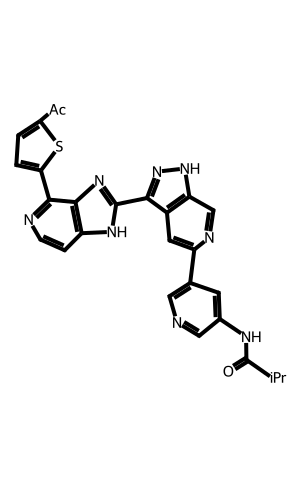 CC(=O)c1ccc(-c2nccc3[nH]c(-c4n[nH]c5cnc(-c6cncc(NC(=O)C(C)C)c6)cc45)nc23)s1